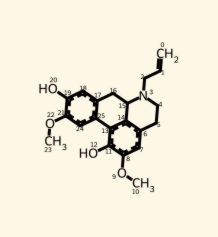 C=CCN1CCc2cc(OC)c(O)c3c2C1Cc1cc(O)c(OC)cc1-3